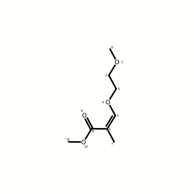 COCCOC=C(C)C(=O)OC